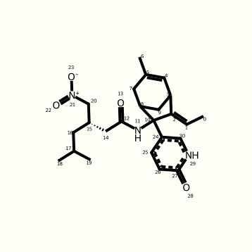 C/C=C1\C2C=C(C)CC(C2)C1(NC(=O)C[C@H](CC(C)C)C[N+](=O)[O-])c1ccc(=O)[nH]c1